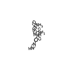 CCC1(C(N)=O)CN2C=NC(Nc3ccc(N4CCNCC4)cc3OC)=C(C(N)=O)C2=N1